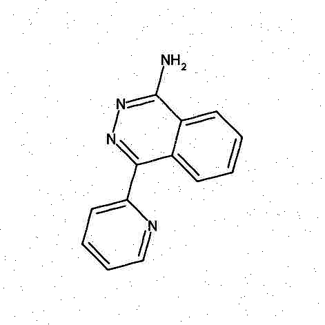 Nc1nnc(-c2ccccn2)c2ccccc12